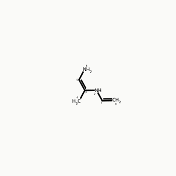 C=CN/C(C)=C\N